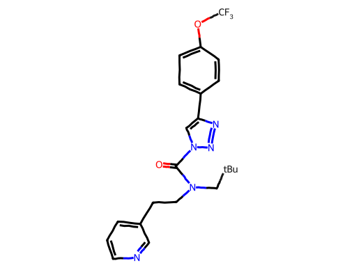 CC(C)(C)CN(CCc1cccnc1)C(=O)n1cc(-c2ccc(OC(F)(F)F)cc2)nn1